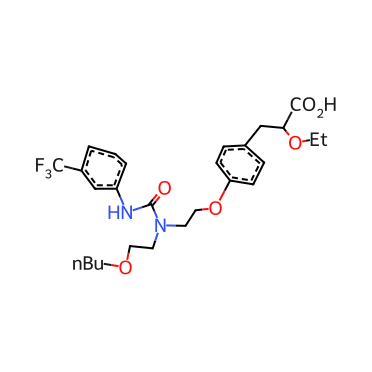 CCCCOCCN(CCOc1ccc(CC(OCC)C(=O)O)cc1)C(=O)Nc1cccc(C(F)(F)F)c1